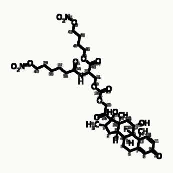 C[C@@H]1C[C@H]2[C@@H]3CCC4=CC(=O)C=C[C@]4(C)[C@@]3(F)[C@@H](O)C[C@]2(C)[C@@]1(O)C(=O)COC(=O)OCC(NC(=O)CCCCCO[N+](=O)[O-])C(=O)OCCCCO[N+](=O)[O-]